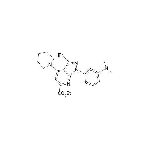 CCOC(=O)c1cc(N2CCCCC2)c2c(C(C)C)nn(-c3cccc(N(C)C)c3)c2n1